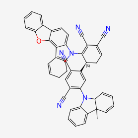 CC12C=CC=CC1N(c1cc([C@@H]3CC=C(C#N)C(C#N)=C3n3c4c(c5c6oc7ccccc7c6ccc53)C=CCC4)c(C#N)cc1C#N)c1ccccc12